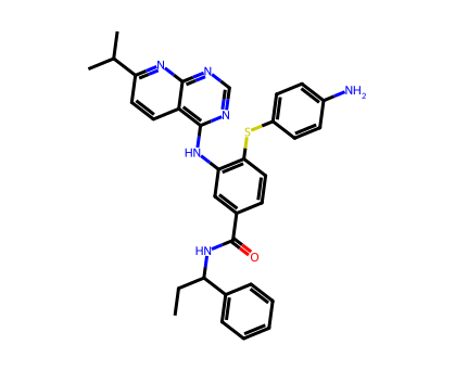 CCC(NC(=O)c1ccc(Sc2ccc(N)cc2)c(Nc2ncnc3nc(C(C)C)ccc23)c1)c1ccccc1